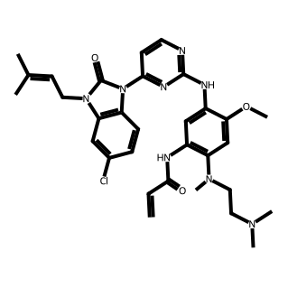 C=CC(=O)Nc1cc(Nc2nccc(-n3c(=O)n(CC=C(C)C)c4cc(Cl)ccc43)n2)c(OC)cc1N(C)CCN(C)C